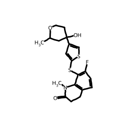 CC1CC(O)(c2csc(Sc3c(F)ccc4c3N(C)C(=O)CC4)c2)CCO1